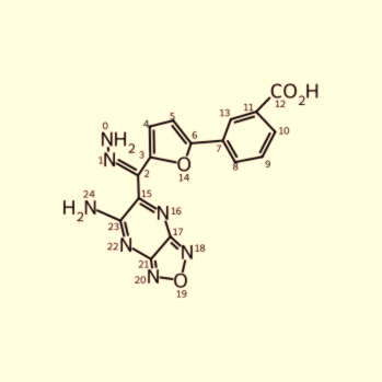 NN=C(c1ccc(-c2cccc(C(=O)O)c2)o1)c1nc2nonc2nc1N